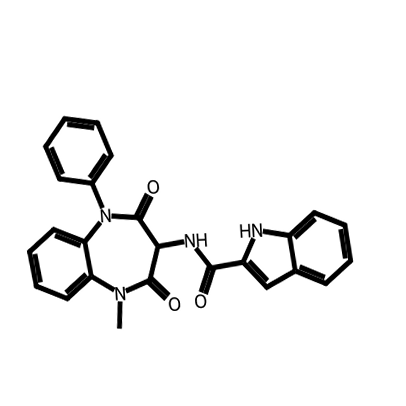 CN1C(=O)C(NC(=O)c2cc3ccccc3[nH]2)C(=O)N(c2ccccc2)c2ccccc21